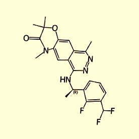 Cc1nnc(N[C@H](C)c2cccc(C(F)F)c2F)c2cc3c(cc12)OC(C)(C)C(=O)N3C